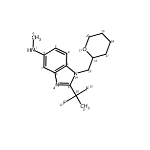 CNc1ccc2c(c1)nc(C(C)(F)F)n2CC1CCCCO1